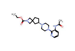 CCOC(=O)N1CC2(CC[C@@H](N3CCN(c4ncccc4NC(C)=O)CC3)C2)C1